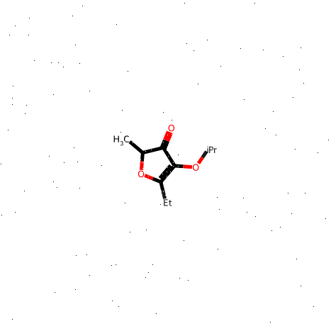 CCC1=C(OC(C)C)C(=O)C(C)O1